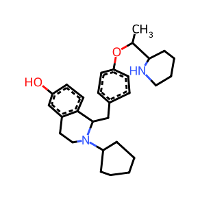 CC(Oc1ccc(CC2c3ccc(O)cc3CCN2C2CCCCC2)cc1)C1CCCCN1